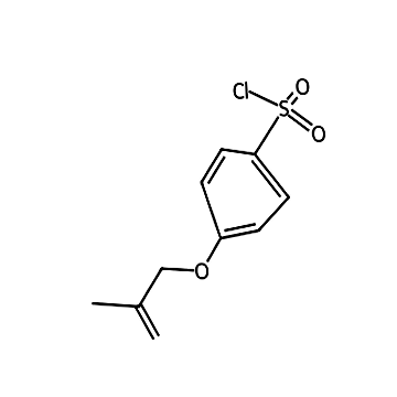 C=C(C)COc1ccc(S(=O)(=O)Cl)cc1